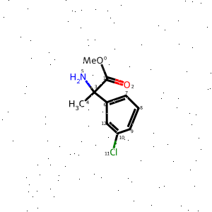 COC(=O)C(C)(N)c1cccc(Cl)c1